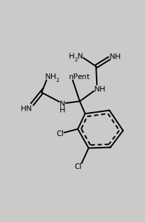 CCCCCC(NC(=N)N)(NC(=N)N)c1cccc(Cl)c1Cl